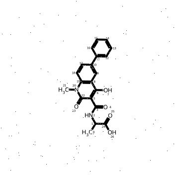 CC(NC(=O)c1c(O)c2cc(-c3ccccc3)ccc2n(C)c1=O)C(=O)O